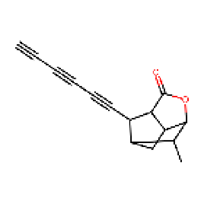 C#CC#CC#CC1C2CC3C(OC(=O)C13)C2C